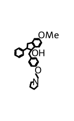 COc1ccc2c(c1)CC(c1ccccc1)C2(O)Cc1ccc(OCCN2CCCC2)cc1